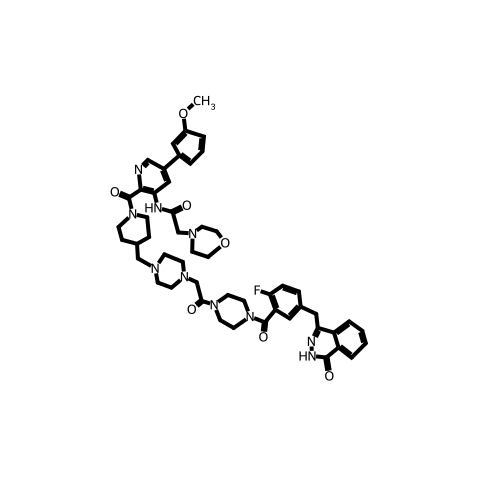 COc1cccc(-c2cnc(C(=O)N3CCC(CN4CCN(CC(=O)N5CCN(C(=O)c6cc(Cc7n[nH]c(=O)c8ccccc78)ccc6F)CC5)CC4)CC3)c(NC(=O)CN3CCOCC3)c2)c1